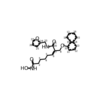 O=C(CCCCC=C(COc1cccc2ccccc12)C(=O)NCc1ccco1)NO